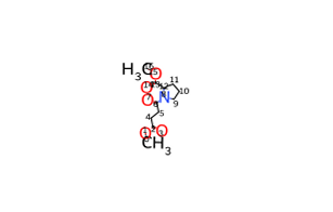 COC(=O)CCC(=O)N1CCCC1C(=O)OC